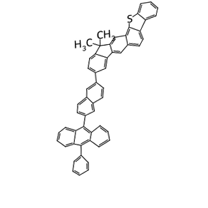 CC1(C)c2ccc(-c3ccc4cc(-c5c6ccccc6c(-c6ccccc6)c6ccccc56)ccc4c3)cc2-c2cc3ccc4c5ccccc5sc4c3cc21